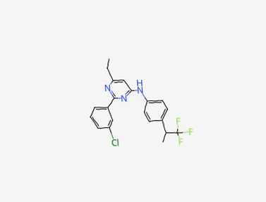 CCc1cc(Nc2ccc(C(C)C(F)(F)F)cc2)nc(-c2cccc(Cl)c2)n1